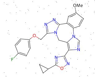 COc1ccc2c(c1)-c1nnc(COc3ccc(F)cc3)n1Cc1c(-c3noc(C4CC4)n3)ncn1-2